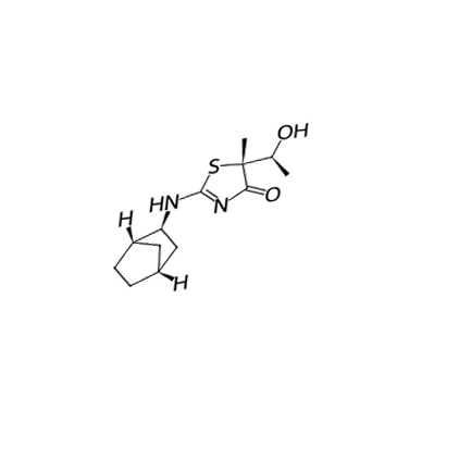 C[C@H](O)[C@@]1(C)SC(N[C@H]2C[C@@H]3CC[C@H]2C3)=NC1=O